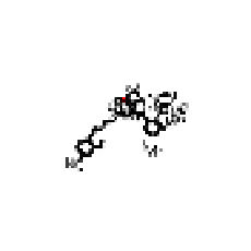 C[C@@H](S[C@H]1CO[C@H](/C=C/C=C/c2ccc(C#N)cc2F)OC1)[C@@](Cn1cncn1)(OC(=O)c1cccc(F)c1COP(=O)([O-])[O-])c1ccc(F)cc1F.[Na+].[Na+]